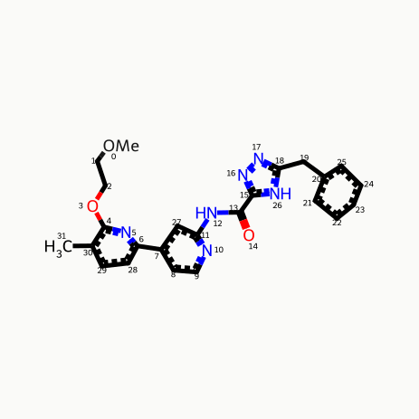 COCCOc1nc(-c2ccnc(NC(=O)c3nnc(Cc4ccccc4)[nH]3)c2)ccc1C